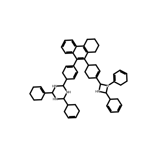 C1=CCCC(N2C(C3=CCC(c4c5c(c6ccccc6c4C4=CCC(C6NC(C7=CCCCC7)NC(C7CC=CCC7)N6)C=C4)CCCC5)CC3)NC2C2C=CC=CC2)=C1